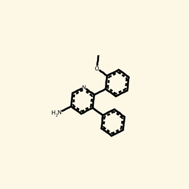 COc1ccccc1-c1ncc(N)cc1-c1ccccc1